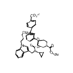 COCCCn1cc(CN(C(=O)[C@H]2CN(C(=O)OC(C)(C)C)CC[C@@H]2c2cccc(-c3ccc(C(=O)O)cc3)c2)C2CC2)c2ccccc21